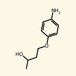 CC(O)CCOc1ccc(N)cc1